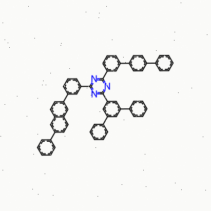 c1ccc(-c2ccc(-c3cccc(-c4nc(-c5cccc(-c6ccc7cc(-c8ccccc8)ccc7c6)c5)nc(-c5cc(-c6ccccc6)cc(-c6ccccc6)c5)n4)c3)cc2)cc1